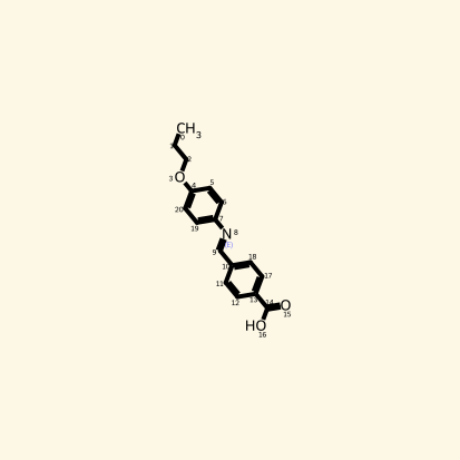 CCCOc1ccc(/N=C/c2ccc(C(=O)O)cc2)cc1